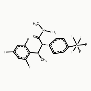 C[C@@H](c1c(F)cc(F)cc1F)[C@H](C(=O)N(C)C)c1ccc(S(F)(F)(F)(F)F)cc1